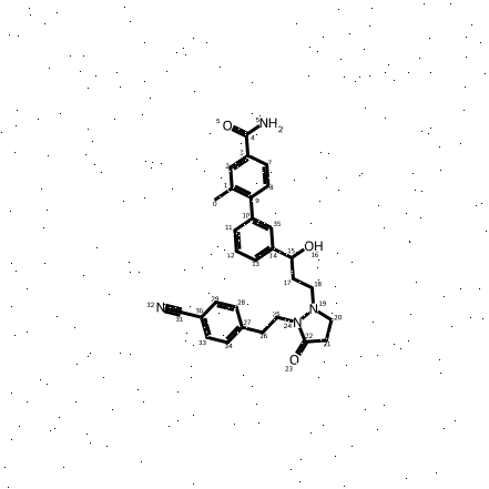 Cc1cc(C(N)=O)ccc1-c1cccc(C(O)CCN2CCC(=O)N2CCc2ccc(C#N)cc2)c1